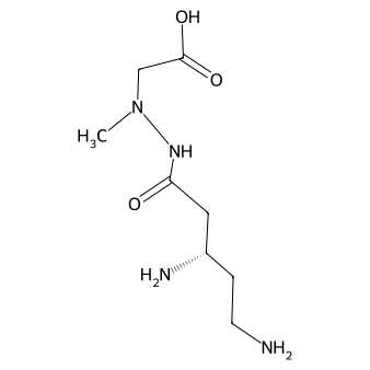 CN(CC(=O)O)NC(=O)C[C@@H](N)CCN